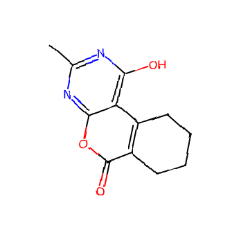 Cc1nc(O)c2c3c(c(=O)oc2n1)CCCC3